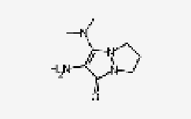 CN(C)c1c(N)c(=O)n2n1CCC2